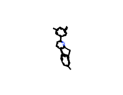 Cc1cc(C)cc(-c2ccc3c(n2)Cc2cc(C)ccc2-3)c1